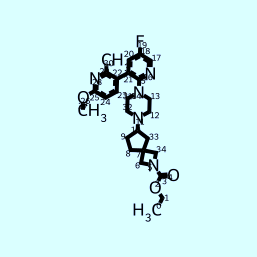 CCOC(=O)N1CC2(CCC(N3CCN(c4ncc(F)cc4-c4ccc(OC)nc4C)CC3)C2)C1